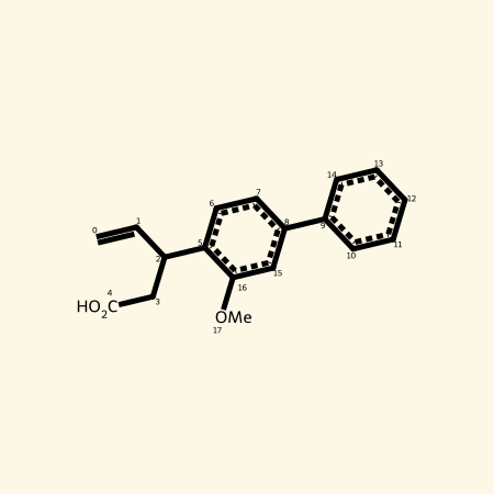 C=CC(CC(=O)O)c1ccc(-c2ccccc2)cc1OC